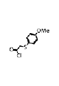 COc1ccc(SCC(=O)Cl)cc1